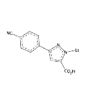 CCn1nc(-c2ccc(C#N)cc2)cc1C(=O)O